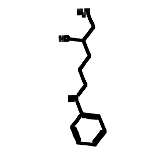 NCC(O)CCCNc1ccccc1